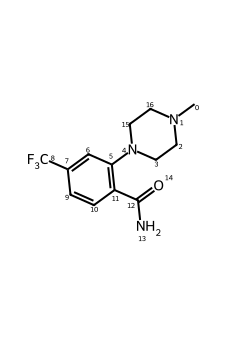 CN1CCN(c2cc(C(F)(F)F)ccc2C(N)=O)CC1